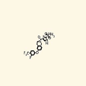 NS(=O)(=O)c1nc(C(=O)N2CCc3cc(Oc4ccc(C(F)(F)F)c(F)c4)ccc3C2)c[nH]1